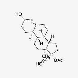 C#C[C@]1(OC(C)=O)CC[C@H]2[C@@H]3CCC4=C[C@@H](O)CC[C@@H]4[C@H]3CC[C@@]21C